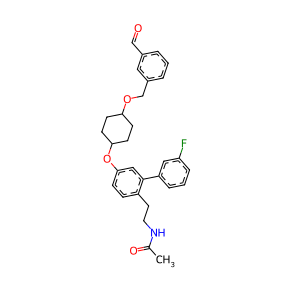 CC(=O)NCCc1ccc(OC2CCC(OCc3cccc(C=O)c3)CC2)cc1-c1cccc(F)c1